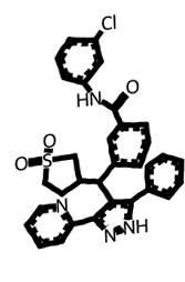 O=C(Nc1cccc(Cl)c1)c1cccc(C(c2c(-c3ccccn3)n[nH]c2-c2ccccc2)C2CCS(=O)(=O)C2)c1